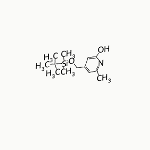 Cc1cc(CO[Si](C)(C)C(C)(C)C)cc(O)n1